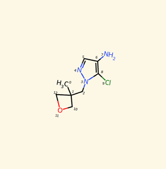 CC1(Cn2ncc(N)c2Cl)COC1